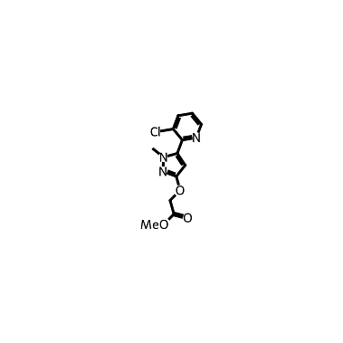 COC(=O)COc1cc(-c2ncccc2Cl)n(C)n1